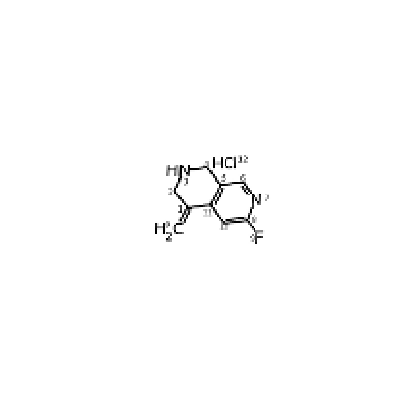 C=C1CNCc2cnc(F)cc21.Cl